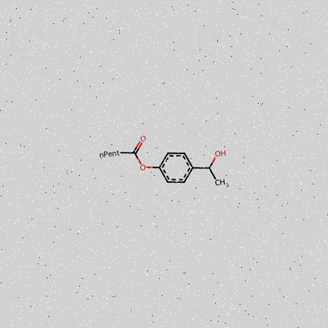 CCCCCC(=O)Oc1ccc(C(C)O)cc1